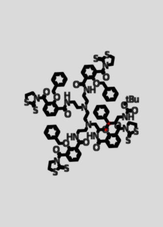 CC(C)(C)OC(=O)NCCCCC(CN(CCNC(=O)c1cccc(C(=O)N2CCSC2=S)c1OCc1ccccc1)CCN(CCNC(=O)c1cccc(C(=O)N2CCSC2=S)c1OCc1ccccc1)CCNC(=O)c1cccc(C(=O)N2CCSC2=S)c1OCc1ccccc1)NC(=O)c1cccc(C(=O)N2CCSC2=S)c1OCc1ccccc1